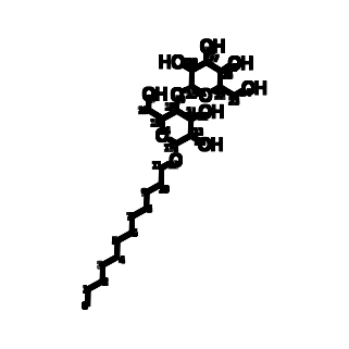 CCCCCCCCCCCCO[C@@H]1OC(CO)[C@@H](O[C@@H]2OC(CO)[C@H](O)C(O)C2O)C(O)C1O